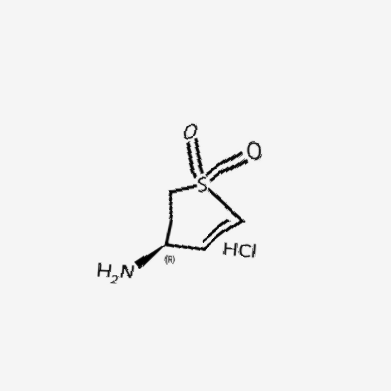 Cl.N[C@@H]1C=CS(=O)(=O)C1